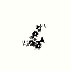 CN1CCN(c2ccc(C(=O)NC(CC(C)(C)C)C(=O)N3C[C@@H](C4CC4)[C@H]4OCC(=O)[C@H]43)cc2)CC1